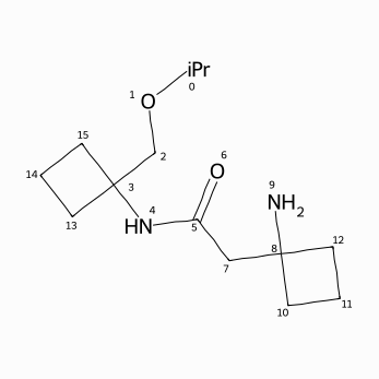 CC(C)OCC1(NC(=O)CC2(N)CCC2)CCC1